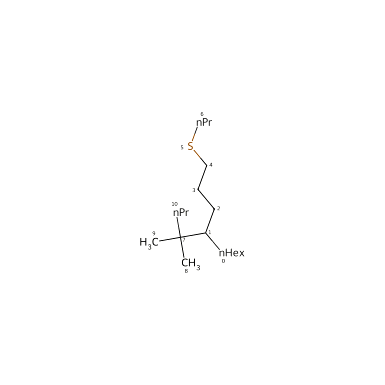 CCCCCCC(CCCSCCC)C(C)(C)CCC